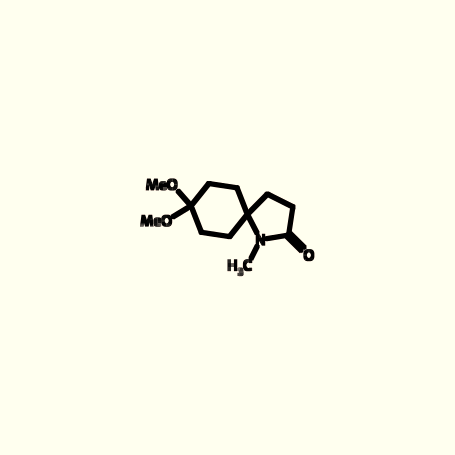 COC1(OC)CCC2(CCC(=O)N2C)CC1